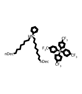 CCCCCCCCCCCCCCCCCC[NH+](CCCCCCCCCCCCCCCCCC)c1ccccc1.FC(F)(F)c1ccc([B-](c2ccc(C(F)(F)F)cc2)(c2ccc(C(F)(F)F)cc2)c2ccc(C(F)(F)F)cc2)cc1